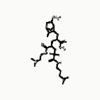 C=C(NCCCN(C)C)C(C)(C)CC(CC(CC1C(C)C2CC(C(=O)O)C1C2)C(N)=O)C(=O)OCCN(C)C